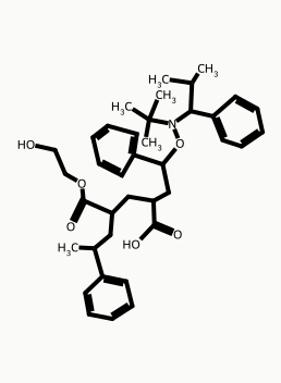 CC(CC(CC(CC(ON(C(c1ccccc1)C(C)C)C(C)(C)C)c1ccccc1)C(=O)O)C(=O)OCCO)c1ccccc1